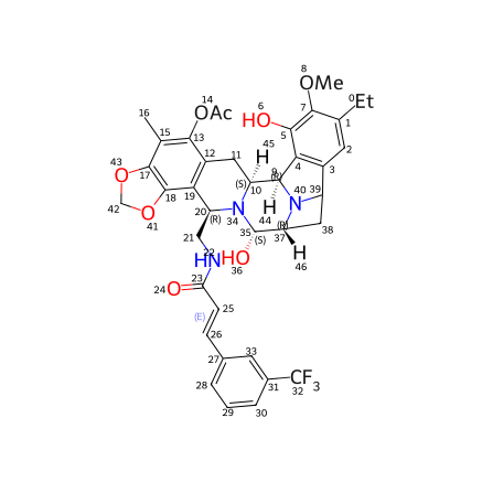 CCc1cc2c(c(O)c1OC)[C@@H]1[C@@H]3Cc4c(OC(C)=O)c(C)c5c(c4[C@H](CNC(=O)/C=C/c4cccc(C(F)(F)F)c4)N3[C@@H](O)[C@H]3CC2N31)OCO5